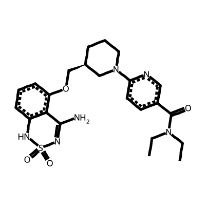 CCN(CC)C(=O)c1ccc(N2CCC[C@H](COc3cccc4c3C(N)=NS(=O)(=O)N4)C2)nc1